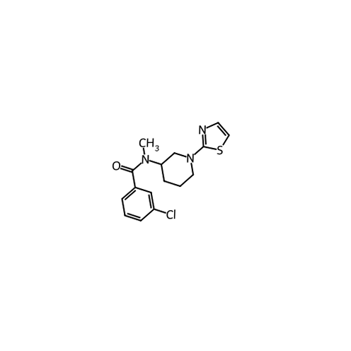 CN(C(=O)c1cccc(Cl)c1)C1CCCN(c2nccs2)C1